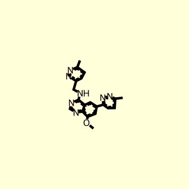 COc1cc(-c2ccc(C)nn2)cc2c(NCc3ccc(C)nn3)ncnc12